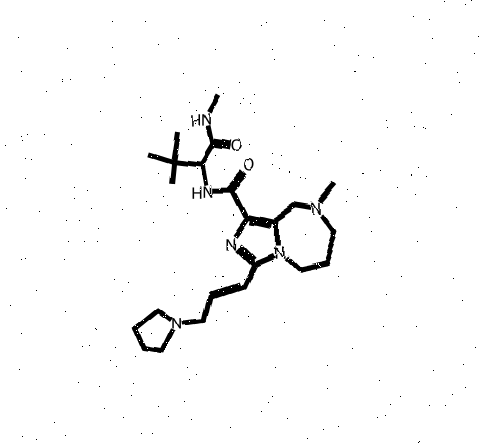 CNC(=O)C(NC(=O)c1nc(C=CCN2CCCC2)n2c1CN(C)CCC2)C(C)(C)C